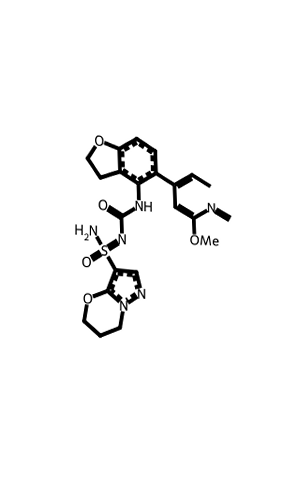 C=N/C(=C\C(=C/C)c1ccc2c(c1NC(=O)N=S(N)(=O)c1cnn3c1OCCC3)CCO2)OC